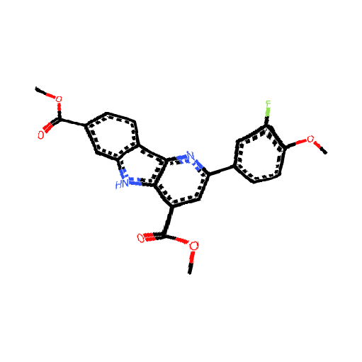 COC(=O)c1ccc2c(c1)[nH]c1c(C(=O)OC)cc(-c3ccc(OC)c(F)c3)nc12